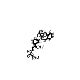 CC(C)(C)OC(=O)NCCC(O)c1cccc(N(Cc2ccccc2)C(=O)OC(C)(C)C)c1